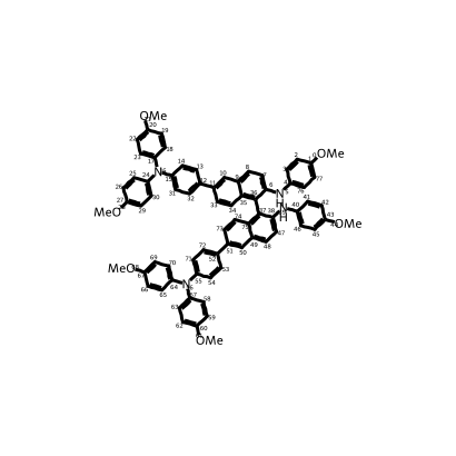 COc1ccc(Nc2ccc3cc(-c4ccc(N(c5ccc(OC)cc5)c5ccc(OC)cc5)cc4)ccc3c2-c2c(Nc3ccc(OC)cc3)ccc3cc(-c4ccc(N(c5ccc(OC)cc5)c5ccc(OC)cc5)cc4)ccc23)cc1